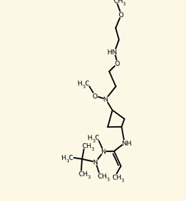 C/C=C(/NC1CC(N(CCONCCOC)OC)C1)N(C)N(C)C(C)(C)C